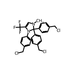 CN1C=C(C(F)(F)F)N(c2ccc(CCl)cc2)C1(c1ccc(CCl)cc1)c1ccc(CCl)cc1